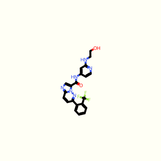 O=C(Nc1ccnc(NCCO)c1)c1cnc2ccc(-c3ccccc3C(F)(F)F)nn12